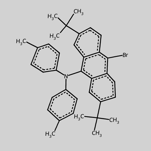 Cc1ccc(N(c2ccc(C)cc2)c2c3cc(C(C)(C)C)ccc3c(Br)c3ccc(C(C)(C)C)cc23)cc1